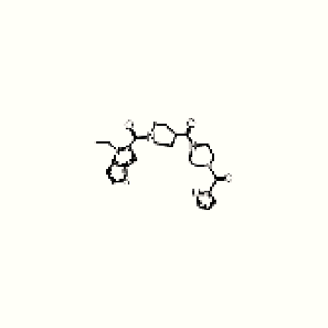 CCn1c(C(=O)N2CCC(C(=O)N3CCN(C(=O)c4ccco4)CC3)CC2)cc2sccc21